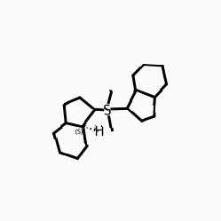 CS(C)(C1CCC2CCCCC21)C1CCC2CCCC[C@@H]21